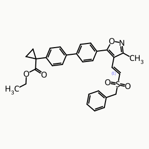 CCOC(=O)C1(c2ccc(-c3ccc(-c4onc(C)c4/C=C/S(=O)(=O)Cc4ccccc4)cc3)cc2)CC1